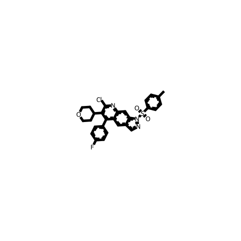 Cc1ccc(S(=O)(=O)n2ncc3cc4c(-c5ccc(F)cc5)c(C5CCOCC5)c(Cl)nc4cc32)cc1